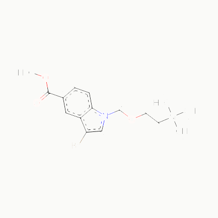 COC(=O)c1ccc2c(c1)c(Br)cn2COCC[Si](C)(C)C